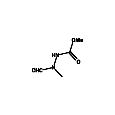 COC(=O)NN(C)C=O